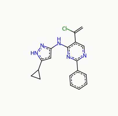 C=C(Cl)c1cnc(-c2ccccc2)nc1Nc1cc(C2CC2)[nH]n1